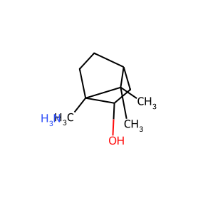 CC1(C)C2CCC1(C)C(O)C2.N